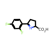 O=C(O)C1CCC(c2ccc(F)cc2F)=N1